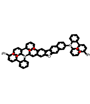 CC(C)c1ccc(-c2ccccc2N(c2ccccc2)c2ccc3cc4c(cc3c2)oc2cc3cc(N(c5ccccc5-c5ccccc5)c5ccccc5-c5ccc(C(C)C)cc5)ccc3cc24)cc1